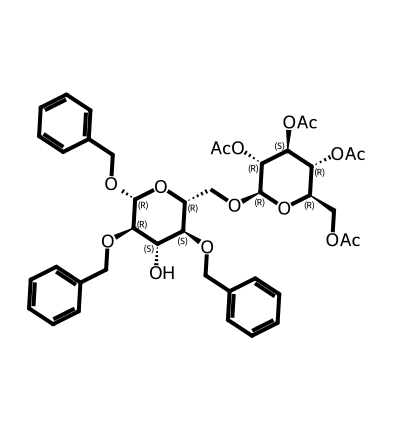 CC(=O)OC[C@H]1O[C@@H](OC[C@H]2O[C@@H](OCc3ccccc3)[C@H](OCc3ccccc3)[C@@H](O)[C@@H]2OCc2ccccc2)[C@H](OC(C)=O)[C@@H](OC(C)=O)[C@@H]1OC(C)=O